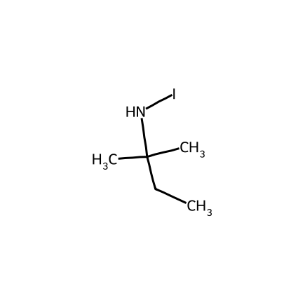 CCC(C)(C)NI